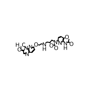 Cn1c(=O)cnc2ccc(OCCNCC3CN(c4ccc5c(n4)NC(=O)CO5)C(=O)O3)nc21